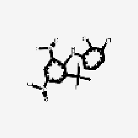 O=[N+]([O-])c1cc([N+](=O)[O-])c(Nc2cccc(Cl)c2Cl)c(C(F)(F)F)c1